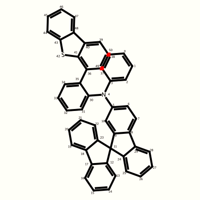 c1ccc(N(c2ccc3c(c2)C2(c4ccccc4-c4ccccc42)c2ccccc2-3)c2ccccc2-c2cccc3c2sc2ccccc23)cc1